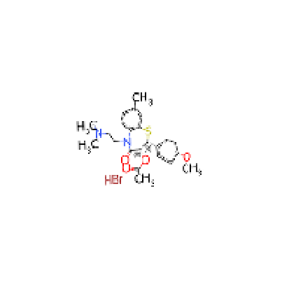 Br.COc1ccc([C@H]2Sc3cc(C)ccc3N(CCN(C)C)C(=O)[C@H]2OC(C)=O)cc1